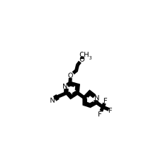 COCCOc1cc(-c2ccc(C(F)(F)F)nc2)cc(C#N)n1